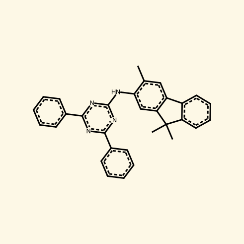 Cc1cc2c(cc1Nc1nc(-c3ccccc3)nc(-c3ccccc3)n1)C(C)(C)c1ccccc1-2